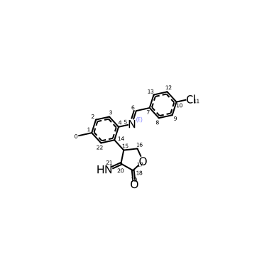 Cc1ccc(/N=C/c2ccc(Cl)cc2)c(C2COC(=O)C2=N)c1